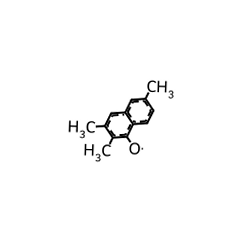 Cc1ccc2c([O])c(C)c(C)cc2c1